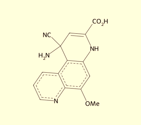 COc1cc2c(c3cccnc13)C(N)(C#N)C=C(C(=O)O)N2